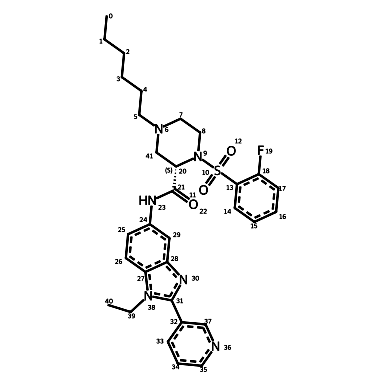 CCCCCCN1CCN(S(=O)(=O)c2ccccc2F)[C@H](C(=O)Nc2ccc3c(c2)nc(-c2cccnc2)n3CC)C1